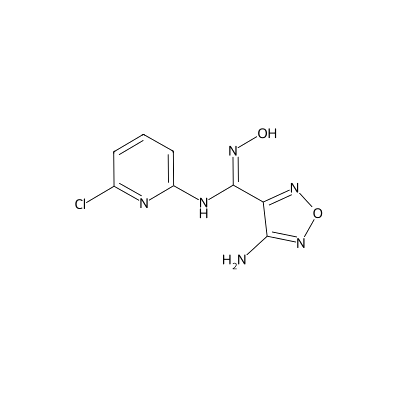 Nc1nonc1/C(=N\O)Nc1cccc(Cl)n1